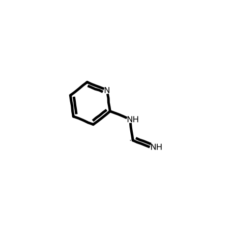 N=[C]Nc1ccccn1